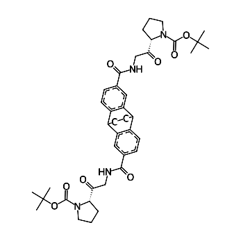 CC(C)(C)OC(=O)N1CCC[C@H]1C(=O)CNC(=O)c1ccc2c(c1)C1CCC2c2cc(C(=O)NCC(=O)[C@@H]3CCCN3C(=O)OC(C)(C)C)ccc21